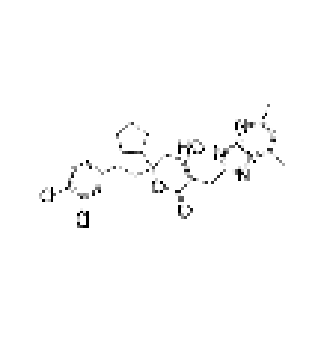 Cc1cc(C)n2nc(CC3=C(O)CC(CCc4ccc(Cl)c(Cl)c4)(C4CCCC4)OC3=O)nc2n1